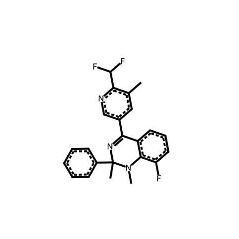 Cc1cc(C2=NC(C)(c3ccccc3)N(C)c3c(F)cccc32)cnc1C(F)F